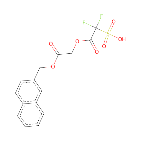 O=C(COC(=O)C(F)(F)S(=O)(=O)O)OCc1ccc2ccccc2c1